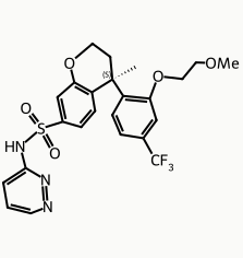 COCCOc1cc(C(F)(F)F)ccc1[C@]1(C)CCOc2cc(S(=O)(=O)Nc3cccnn3)ccc21